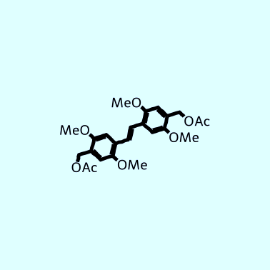 COc1cc(COC(C)=O)c(OC)cc1C=Cc1cc(OC)c(COC(C)=O)cc1OC